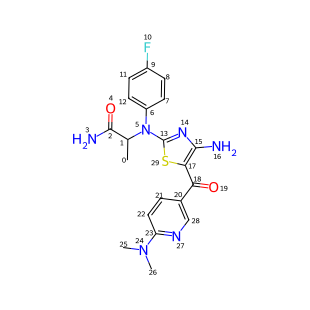 CC(C(N)=O)N(c1ccc(F)cc1)c1nc(N)c(C(=O)c2ccc(N(C)C)nc2)s1